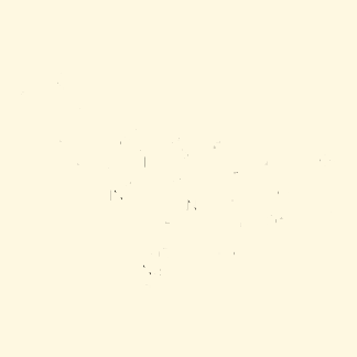 CC(=O)OCC1=C(C(=O)[O-])N2C(=O)C(NC(=O)Cc3ccsc3)[C@H]2SC1.[Na+]